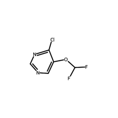 FC(F)Oc1cncnc1Cl